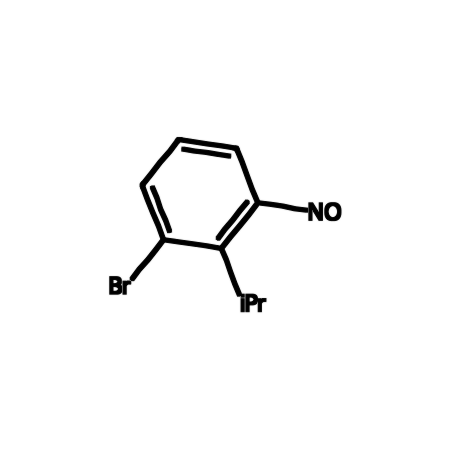 CC(C)c1c(Br)cccc1N=O